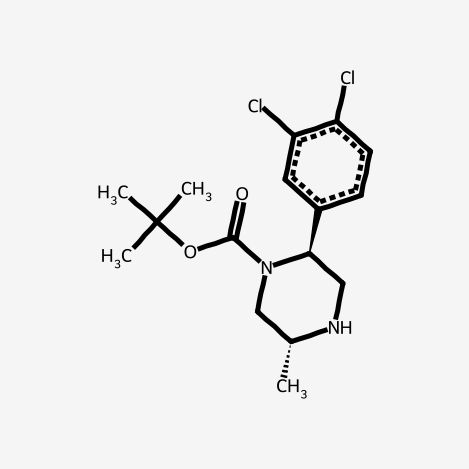 C[C@@H]1CN(C(=O)OC(C)(C)C)[C@@H](c2ccc(Cl)c(Cl)c2)CN1